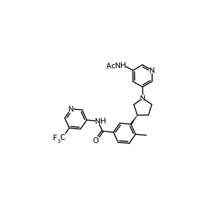 CC(=O)Nc1cncc(N2CC[C@@H](c3cc(C(=O)Nc4cncc(C(F)(F)F)c4)ccc3C)C2)c1